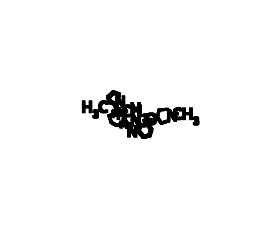 Cc1cccnc1[C@@H]1CCC[C@H](c2nc3cccc(OC4CCN(C)CC4)c3[nH]2)N1C